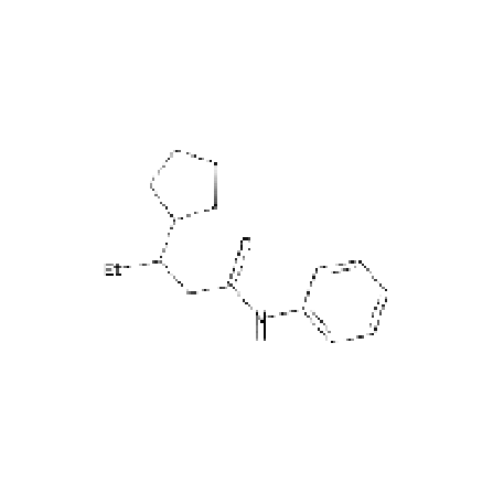 CCC(CC(=O)Nc1ccccc1)C1CCCC1